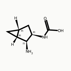 N[C@H]1[C@@H]2C[C@@H]2C[C@H]1NC(=O)O